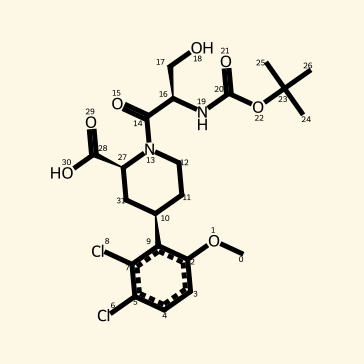 COc1ccc(Cl)c(Cl)c1[C@@H]1CCN(C(=O)[C@@H](CO)NC(=O)OC(C)(C)C)[C@H](C(=O)O)C1